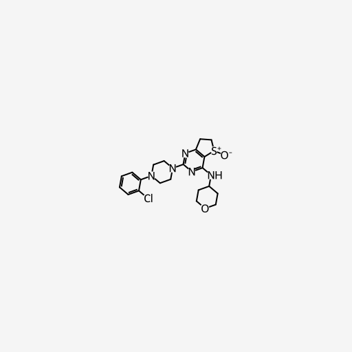 [O-][S+]1CCc2nc(N3CCN(c4ccccc4Cl)CC3)nc(NC3CCOCC3)c21